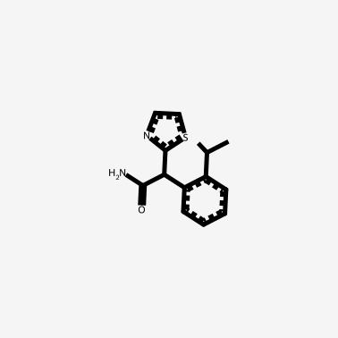 CC(C)c1ccccc1C(C(N)=O)c1nccs1